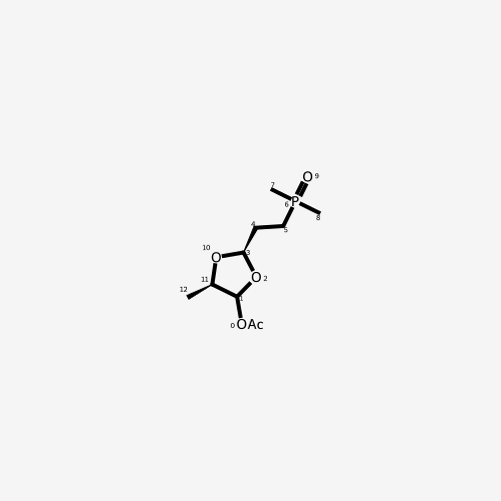 CC(=O)OC1O[C@H](CCP(C)(C)=O)O[C@@H]1C